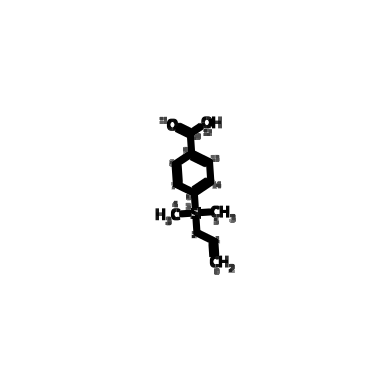 C=CC[Si](C)(C)c1ccc(C(=O)O)cc1